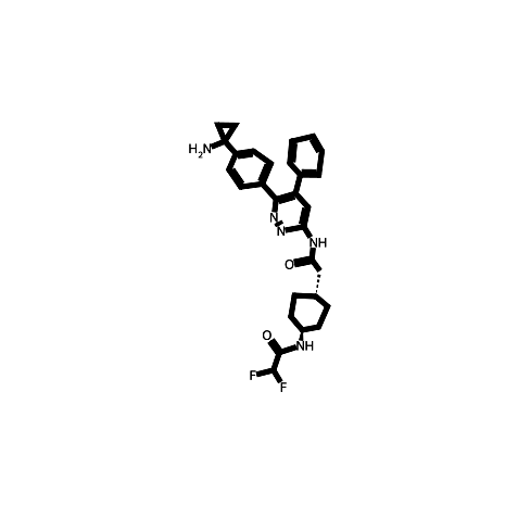 NC1(c2ccc(-c3nnc(NC(=O)C[C@H]4CC[C@H](NC(=O)C(F)F)CC4)cc3-c3ccccc3)cc2)CC1